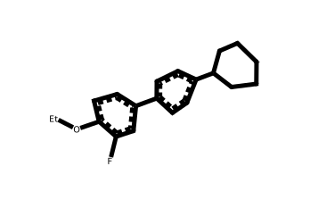 CCOc1ccc(-c2ccc(C3CC[CH]CC3)cc2)cc1F